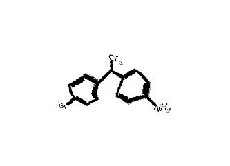 Nc1ccc(C(c2ccc(Br)cc2)C(F)(F)F)cc1